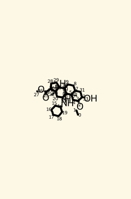 CCOC1C[C@@]2(C)C(CC[C@@H]3[C@H]2C(NC2CCCCC2)C[C@]2(C)C(C(=O)OC)CC[C@@H]32)CC1O